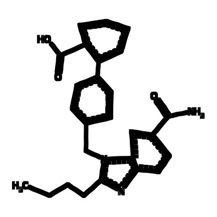 CCCCc1nc2ccc(C(N)=O)cc2n1Cc1ccc(-c2ccccc2C(=O)O)cc1